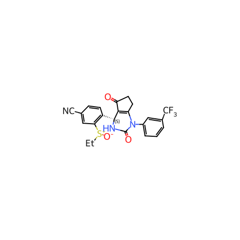 CC[S+]([O-])c1cc(C#N)ccc1[C@H]1NC(=O)N(c2cccc(C(F)(F)F)c2)C2=C1C(=O)CC2